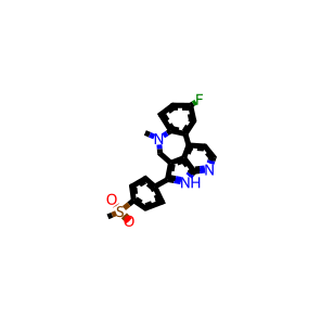 CN1Cc2c(-c3ccc(S(C)(=O)=O)cc3)[nH]c3nccc(c23)-c2cc(F)ccc21